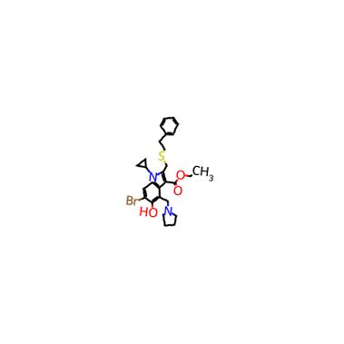 CCOC(=O)c1c(CSCCc2ccccc2)n(C2CC2)c2cc(Br)c(O)c(CN3CCCC3)c12